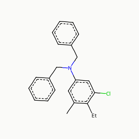 CCc1c(C)cc(N(Cc2ccccc2)Cc2ccccc2)cc1Cl